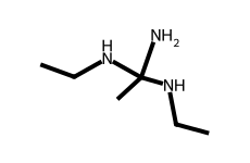 CCNC(C)(N)NCC